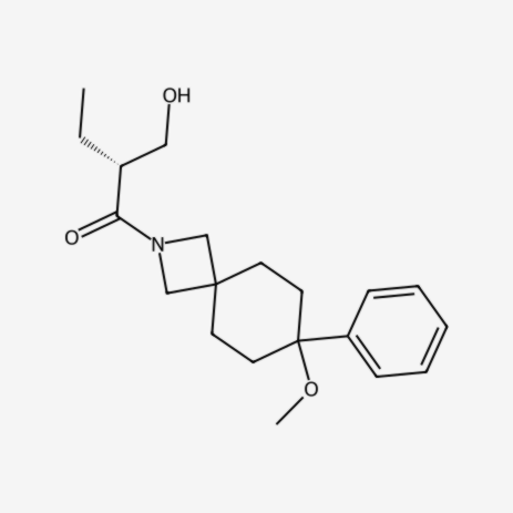 CC[C@H](CO)C(=O)N1CC2(CCC(OC)(c3ccccc3)CC2)C1